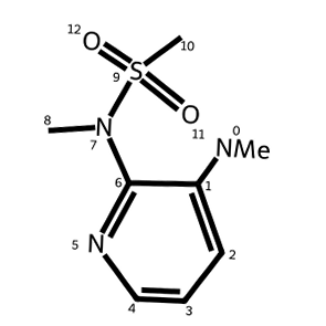 CNc1cccnc1N(C)S(C)(=O)=O